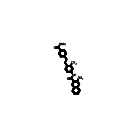 COC(=O)c1ccc(CCc2ccc(NC(=O)c3cc4ccccc4cc3N)cc2C)cc1